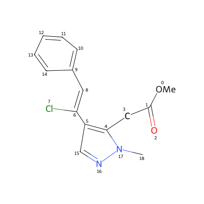 COC(=O)Cc1c(C(Cl)=Cc2ccccc2)cnn1C